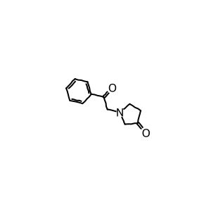 O=C1CCN(CC(=O)c2ccccc2)C1